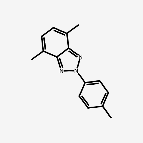 Cc1ccc(-n2nc3c(C)ccc(C)c3n2)cc1